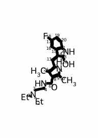 CCN(CC)CCNC(=O)c1c(C)[nH]c(/C=C2/c3cc(F)ccc3NC2O)c1C